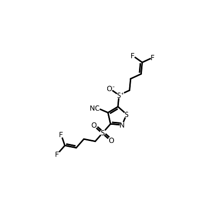 N#Cc1c(S(=O)(=O)CCC=C(F)F)nsc1[S+]([O-])CCC=C(F)F